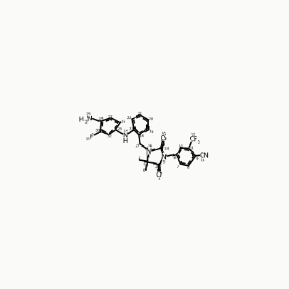 CC1(C)C(=O)N(c2ccc(C#N)c(C(F)(F)F)c2)C(=O)N1Cc1ccccc1Nc1ccc(N)c(F)c1